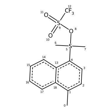 Cc1ccc(S(C)(C)OS(=O)(=O)C(F)(F)F)c2ccccc12